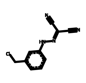 N#CC(C#N)=NNc1cccc(CCl)c1